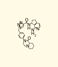 Nc1nccc2c1C(NC(=O)c1cn(Cc3ccc(N4CCN5CCCCC5C4=O)cc3)nn1)CC2